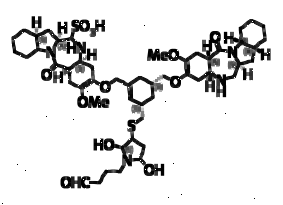 COC1=C(OCC2=C[C@@H](CSC3CC(O)N(CCCC=O)[C@H]3O)C[C@@H](COC3=C(OC)C[C@@H]4C(=O)N5[C@H](CN[C@@H]4C3)C[C@H]3CCCC[C@H]35)C2)C[C@@H]2NC(S(=O)(=O)O)[C@@H]3C[C@@H]4CCCCC4N3C(=O)[C@@H]2C1